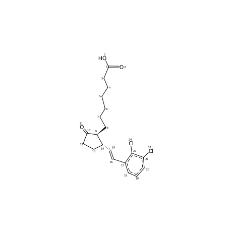 O=C(O)CCCCCC[C@@H]1C(=O)CC[C@H]1C=Cc1cccc(Cl)c1Cl